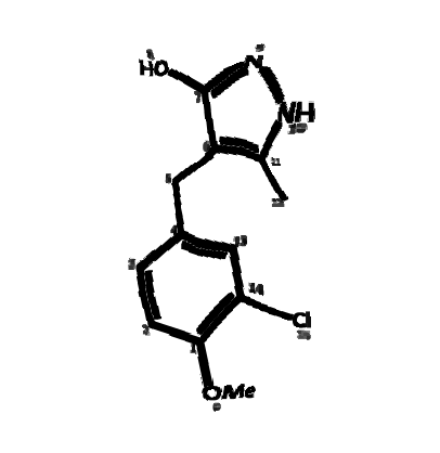 COc1ccc(Cc2c(O)n[nH]c2C)cc1Cl